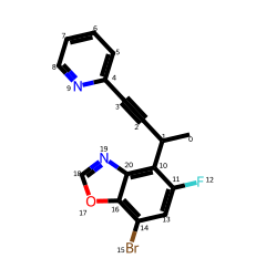 CC(C#Cc1ccccn1)c1c(F)cc(Br)c2ocnc12